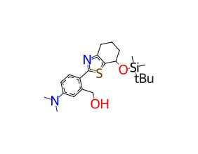 CN(C)c1ccc(-c2nc3c(s2)C(O[Si](C)(C)C(C)(C)C)CCC3)c(CO)c1